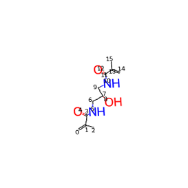 C=C(C)C(=O)NCC(O)CNC(=O)C(=C)C